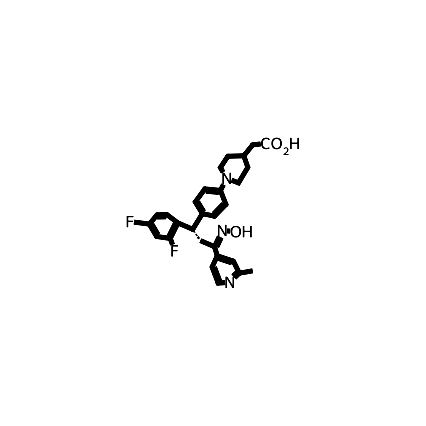 Cc1cc(C(C[C@@H](c2ccc(N3CCC(CC(=O)O)CC3)cc2)c2ccc(F)cc2F)=NO)ccn1